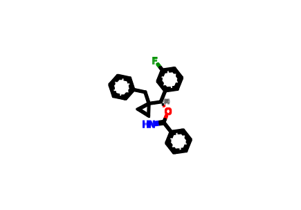 N=C(O[C@@H](c1cccc(F)c1)C1(Cc2ccccc2)CC1)c1ccccc1